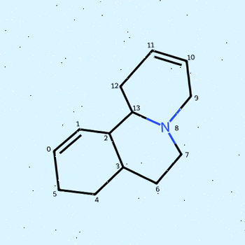 C1=CC2C(CC1)CCN1CC=CCC21